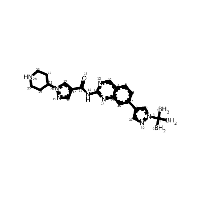 BC(B)(B)n1cc(-c2ccc3cnc(NC(=O)c4cnn(C5CCNCC5)c4)nc3c2)cn1